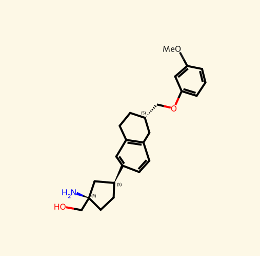 COc1cccc(OC[C@H]2CCc3cc([C@H]4CC[C@](N)(CO)C4)ccc3C2)c1